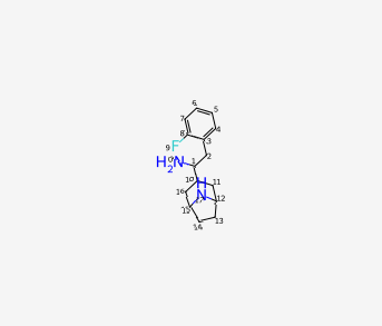 NC(Cc1ccccc1F)C1CC2CCC(C1)N2